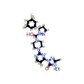 CCn1c(C)nn(-c2nc(N3CCN(C(O)N4N=CC[C@H]4c4cc(F)cc(F)c4)CC3)ncc2F)c1=O